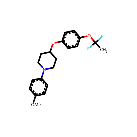 COc1ccc(N2CCC(Oc3ccc(OC(C)(F)F)cc3)CC2)cc1